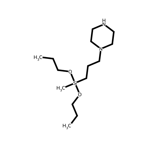 CCCO[Si](C)(CCCN1CCNCC1)OCCC